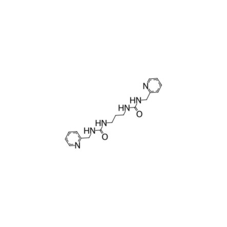 O=C(NCCCNC(=O)NCc1ccccn1)NCc1ccccn1